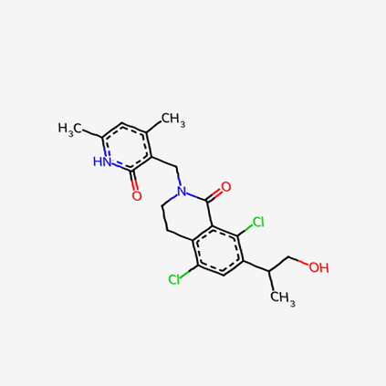 Cc1cc(C)c(CN2CCc3c(Cl)cc(C(C)CO)c(Cl)c3C2=O)c(=O)[nH]1